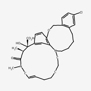 C[C@@H]1C(=O)N(C)C/C=C/CCCCCN2CCCCc3cc(Cl)ccc3COc3ccc(cc32)[C@]1(O)C(=O)O